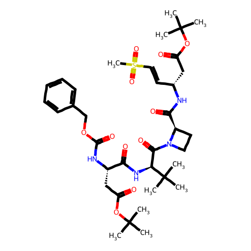 CC(C)(C)OC(=O)C[C@@H](/C=C/S(C)(=O)=O)NC(=O)[C@H]1CCN1C(=O)[C@H](NC(=O)[C@H](CC(=O)OC(C)(C)C)NC(=O)OCc1ccccc1)C(C)(C)C